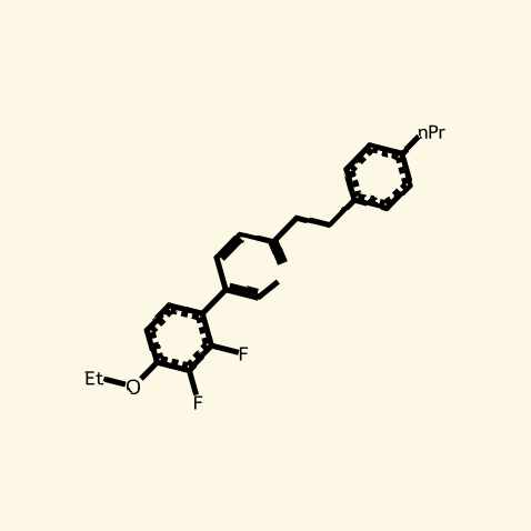 C=C(/C=C\C(=C/C)c1ccc(OCC)c(F)c1F)CCc1ccc(CCC)cc1